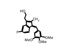 COc1cc(/C=C2/C(C)=C(CCO)c3cc(F)ccc32)cc(OC)c1OC